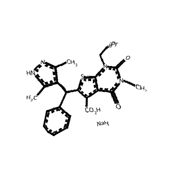 Cc1n[nH]c(C)c1C(c1ccccc1)c1sc2c(c1C(=O)O)c(=O)n(C)c(=O)n2CC(C)C.[NaH]